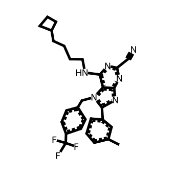 Cc1cccc(-c2nc3nc(C#N)nc(NCCCCC4CCC4)c3n2Cc2ccc(C(F)(F)F)cc2)c1